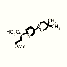 COCCN(C(=O)O)c1ccc(B2OCC(C)(C)CO2)cn1